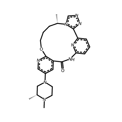 C[C@@H]1CN(c2cnc3c(c2)C(=O)Nc2cccc(n2)-c2nncn2[C@@H](C)CCCO3)CCN1C